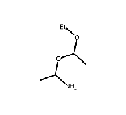 CCOC(C)OC(C)N